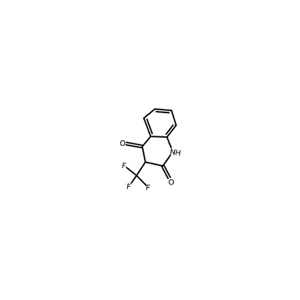 O=C1Nc2ccccc2C(=O)C1C(F)(F)F